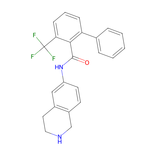 O=C(Nc1ccc2c(c1)CCNC2)c1c(-c2ccccc2)cccc1C(F)(F)F